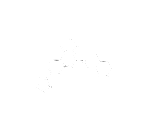 C=C(/C=c1/nc(NCC2CCCCN2C)/c(=C/SC)c(=C)/c1=C/C)c1nnn[nH]1